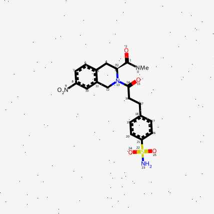 CNC(=O)[C@@H]1Cc2ccc([N+](=O)[O-])cc2CN1C(=O)CCc1ccc(S(N)(=O)=O)cc1